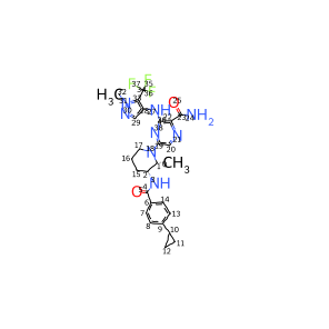 C[C@@H]1[C@H](NC(=O)c2ccc(C3CC3)cc2)CCCN1c1cnc(C(N)=O)c(Nc2cnn(C)c2C(F)(F)F)n1